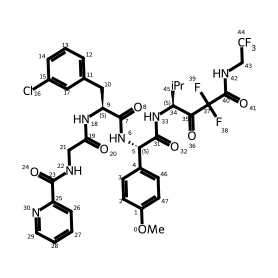 COc1ccc([C@H](NC(=O)[C@H](Cc2cccc(Cl)c2)NC(=O)CNC(=O)c2ccccn2)C(=O)N[C@H](C(=O)C(F)(F)C(=O)NCC(F)(F)F)C(C)C)cc1